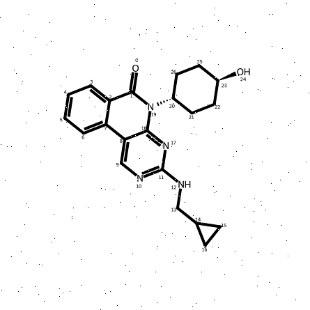 O=c1c2ccccc2c2cnc(NCC3CC3)nc2n1[C@H]1CC[C@H](O)CC1